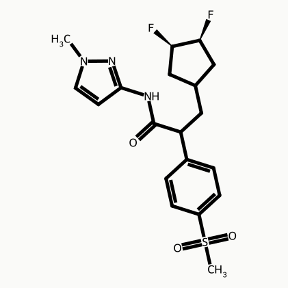 Cn1ccc(NC(=O)C(CC2C[C@@H](F)[C@@H](F)C2)c2ccc(S(C)(=O)=O)cc2)n1